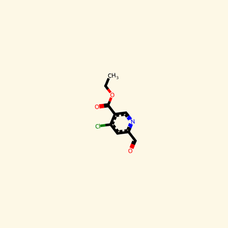 CCOC(=O)c1cnc(C=O)cc1Cl